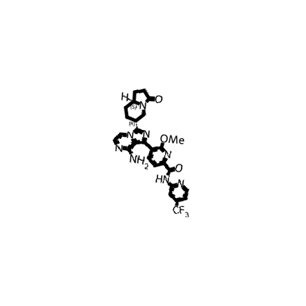 COc1nc(C(=O)Nc2cc(C(F)(F)F)ccn2)ccc1-c1nc([C@@H]2CC[C@H]3CCC(=O)N3C2)n2ccnc(N)c12